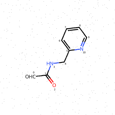 O=CC(=O)NCc1ccccn1